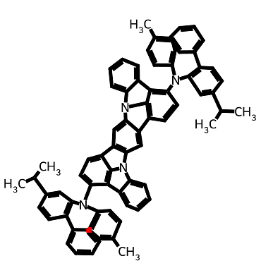 Cc1ccc(N(c2cc(C(C)C)ccc2-c2ccccc2)c2ccc3c4cc5c(cc4n4c6ccccc6c2c34)c2ccc(N(c3ccc(C)cc3)c3cc(C(C)C)ccc3-c3ccccc3)c3c4ccccc4n5c23)cc1